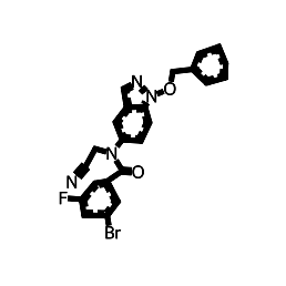 N#CCN(C(=O)c1cc(F)cc(Br)c1)c1ccc2c(cnn2OCc2ccccc2)c1